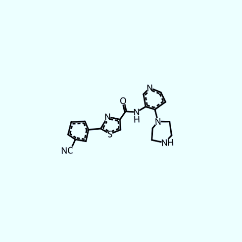 N#Cc1cccc(-c2nc(C(=O)Nc3cnccc3N3CCNCC3)cs2)c1